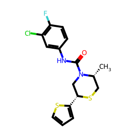 C[C@@H]1CS[C@H](c2cccs2)CN1C(=O)Nc1ccc(F)c(Cl)c1